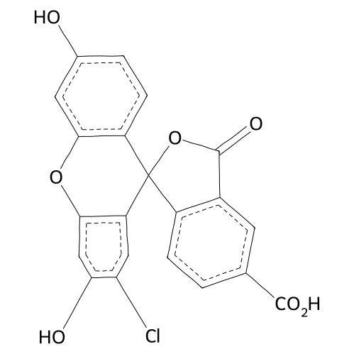 O=C(O)c1ccc2c(c1)C(=O)OC21c2ccc(O)cc2Oc2cc(O)c(Cl)cc21